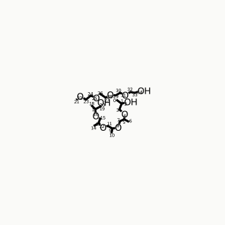 CC(O)COC(C)COC(C)COC(C)COC(C)CO.COCCOCCOCCOCCO